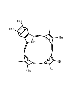 CCCCC1=C(C)c2cc3[nH]c(cc4nc(cc5[nH]c(cc1n2)c(CC)c5CC)C(CCCC)=C4C)c1c3C2C=CC1C(O)C2O